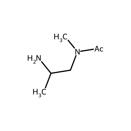 CC(=O)N(C)CC(C)N